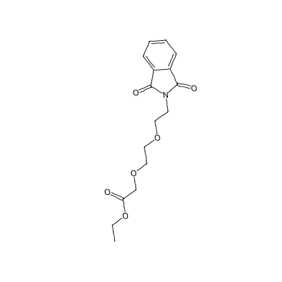 CCOC(=O)COCCOCCN1C(=O)c2ccccc2C1=O